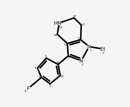 CCn1nc(-c2ccc(F)cc2)c2c1CCNC2